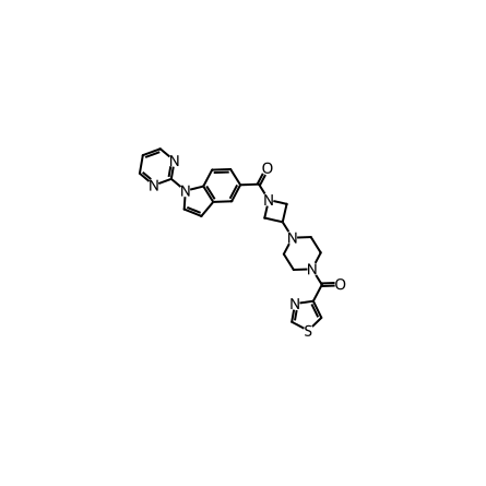 O=C(c1ccc2c(ccn2-c2ncccn2)c1)N1CC(N2CCN(C(=O)c3cscn3)CC2)C1